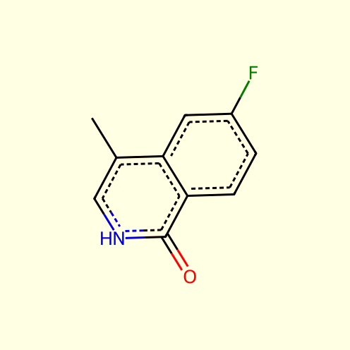 Cc1c[nH]c(=O)c2ccc(F)cc12